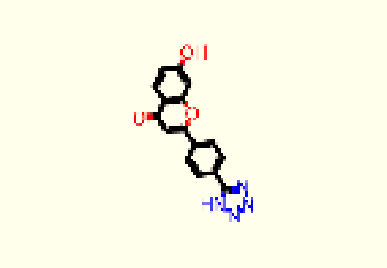 O=c1cc(-c2ccc(-c3nnn[nH]3)cc2)oc2cc(O)ccc12